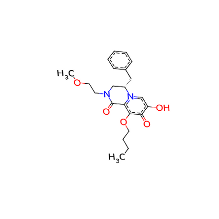 CCCCOc1c2n(cc(O)c1=O)[C@@H](Cc1ccccc1)CN(CCOC)C2=O